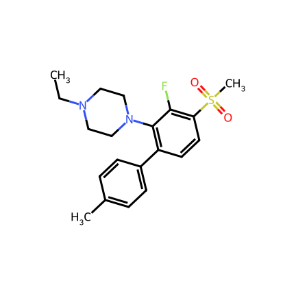 CCN1CCN(c2c(-c3ccc(C)cc3)ccc(S(C)(=O)=O)c2F)CC1